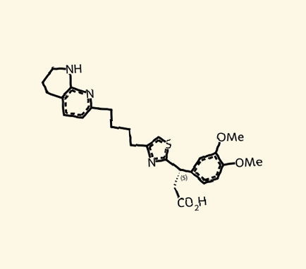 COc1ccc([C@H](CC(=O)O)c2nc(CCCCc3ccc4c(n3)NCCC4)cs2)cc1OC